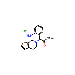 COC(=O)C(c1ccccc1N)N1CCc2ccsc2C1.Cl